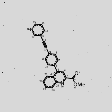 COC(=O)c1cc(-c2ccc(C#Cc3cccnc3)cc2)c2ccccc2n1